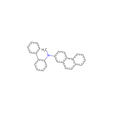 CN(c1ccc2c(ccc3ccccc32)c1)c1ccccc1-c1ccccc1